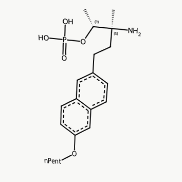 CCCCCOc1ccc2cc(CC[C@](C)(N)[C@@H](C)OP(=O)(O)O)ccc2c1